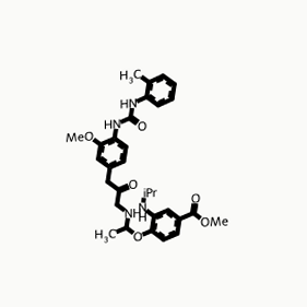 COC(=O)c1ccc(OC(C)NCC(=O)Cc2ccc(NC(=O)Nc3ccccc3C)c(OC)c2)c(NC(C)C)c1